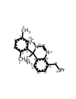 Cc1ccc(C)c(C2(C)c3cccc(CC(C)C)c3N=CN2C)c1